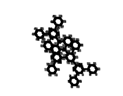 c1ccc(-c2cc(-c3ccccc3)nc(-c3cc(-c4ccccc4)c(N4c5ccccc5N(c5nc(-c6ccccc6)nc(-c6ccccc6)n5)c5ccccc54)c(-c4cc(-c5ccccc5)nc(-c5ccccc5)n4)c3)n2)cc1